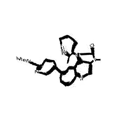 CNc1ccc(-c2ccc3ncc4c(c3c2)n(-c2cccnc2C)c(=O)n4C)cn1